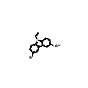 C=Cn1c2ccc(Br)cc2c2cc(OC)ccc21